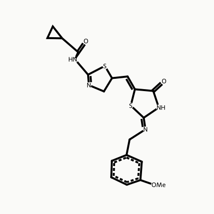 COc1cccc(C/N=C2/NC(=O)/C(=C/C3CN=C(NC(=O)C4CC4)S3)S2)c1